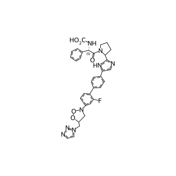 O=C(O)N[C@H](C(=O)N1CCCC1c1ncc(-c2ccc(-c3ccc(N4CC(Cn5ccnn5)OO4)cc3F)cc2)[nH]1)c1ccccc1